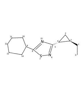 CC[C@@H]1C[C@H]1c1nsc(C2CCCCC2)n1